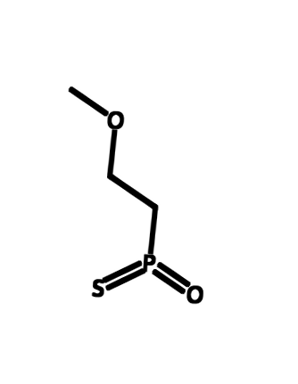 COCCP(=O)=S